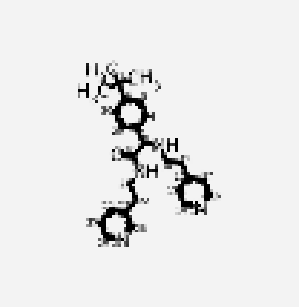 CC(C)(C)c1ccc(C(NCCc2ccncc2)C(=O)NCCc2cccnc2)cc1